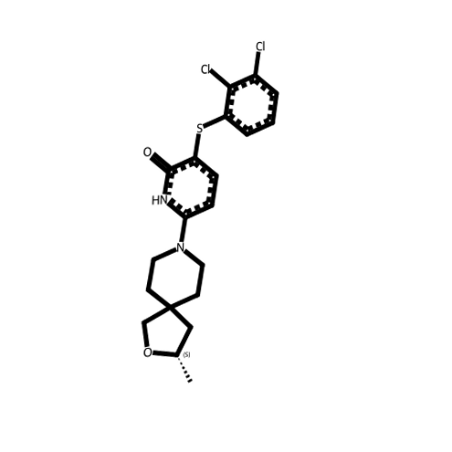 C[C@H]1CC2(CCN(c3ccc(Sc4cccc(Cl)c4Cl)c(=O)[nH]3)CC2)CO1